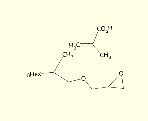 C=C(C)C(=O)O.CCCCCCC(C)COCC1CO1